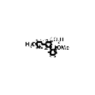 COCc1ccccc1-c1cc(C(=O)O)cc(-c2ccc(C)cn2)c1